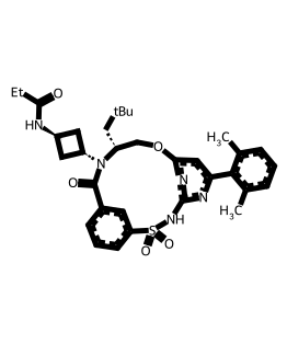 CCC(=O)N[C@H]1C[C@H](N2C(=O)c3cccc(c3)S(=O)(=O)Nc3nc(cc(-c4c(C)cccc4C)n3)OC[C@H]2CC(C)(C)C)C1